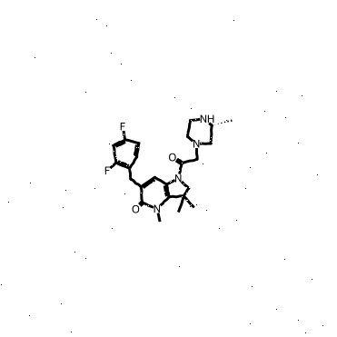 C[C@@H]1CN(CC(=O)N2CC(C)(C)c3c2cc(Cc2ccc(F)cc2F)c(=O)n3C)CCN1